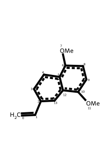 C=Cc1ccc2c(OC)ccc(OC)c2c1